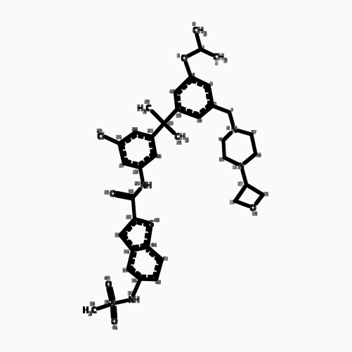 CC(C)Oc1cc(CN2CCN(C3COC3)CC2)cc(C(C)(C)c2cc(Cl)cc(NC(=O)c3cc4cc(NS(C)(=O)=O)ccc4s3)c2)c1